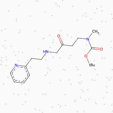 CN(CCC(=O)CNCCc1ccccn1)C(=O)OC(C)(C)C